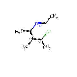 C/C=N/C(C)[C@H](C)[C@H](C)Cl